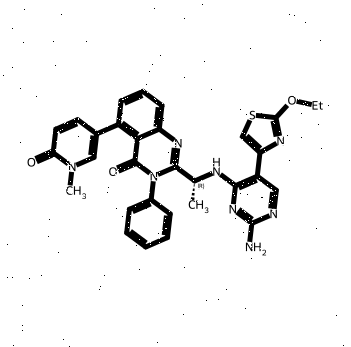 CCOc1nc(-c2cnc(N)nc2N[C@H](C)c2nc3cccc(-c4ccc(=O)n(C)c4)c3c(=O)n2-c2ccccc2)cs1